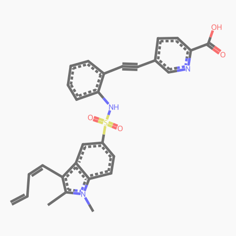 C=C/C=C\c1c(C)n(C)c2ccc(S(=O)(=O)Nc3ccccc3C#Cc3ccc(C(=O)O)nc3)cc12